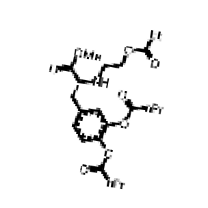 CCCC(=O)Oc1ccc(C[C@H](NCCOC(=O)CC)C(=O)OC)cc1OC(=O)CCC